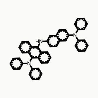 c1ccc(N(c2ccccc2)c2ccc3cc(Nc4c5ccccc5c(N(c5ccccc5)c5ccccc5)c5ccccc45)ccc3c2)cc1